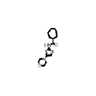 O=C(Nc1ncc(N2CCOCC2)s1)C1CCCCCC1